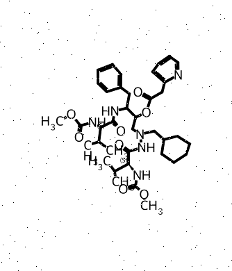 COC(=O)N[C@H](C(=O)NC(Cc1ccccc1)C(CN(CC1CCCCC1)NC(=O)[C@@H](NC(=O)OC)C(C)C)OC(=O)Cc1ccccn1)C(C)C